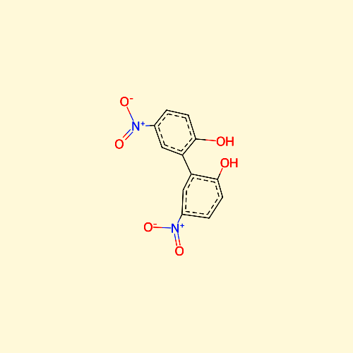 O=[N+]([O-])c1ccc(O)c(-c2cc([N+](=O)[O-])ccc2O)c1